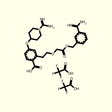 N=C(N)c1cccc(COC(=O)COCCc2cc(OC3CCN(C(=N)N)CC3)ccc2C(=O)O)c1.O=C(O)C(F)(F)F.O=C(O)C(F)(F)F